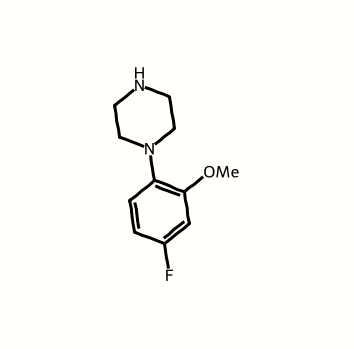 COc1cc(F)ccc1N1CCNCC1